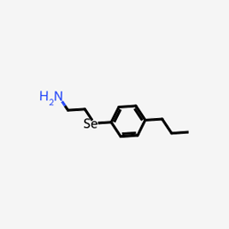 CCCc1ccc([Se]CCN)cc1